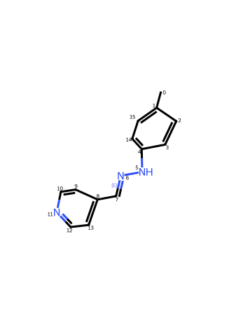 Cc1ccc(N/N=C/c2ccncc2)cc1